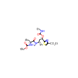 CCNC(=O)O[C@H](C[C@H](C(C)C)N(C)C(=O)[C@@H](NC(=O)OC(C)(C)C)C(C)CC)c1nc(C(=O)OCC)cs1